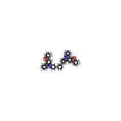 c1cc(-c2ccc3c(c2)c2cc4c5ccccc5oc4c4c5ccccc5n3c24)cc(-c2ccc3c(c2)c2cc4c5ccccc5oc4c4c5ccccc5n3c24)c1